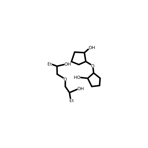 CCC(O)COCC(O)CC.OC1CCCC1OC1CCCC1O